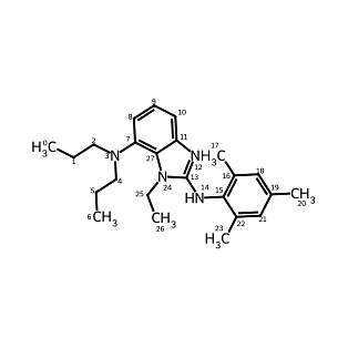 CCCN(CCC)c1cccc2nc(Nc3c(C)cc(C)cc3C)n(CC)c12